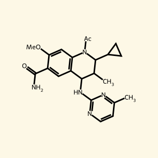 COc1cc2c(cc1C(N)=O)C(Nc1nccc(C)n1)C(C)C(C1CC1)N2C(C)=O